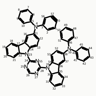 c1ccc(N(c2ccccc2)c2ccc3c(c2)c2ccccc2n3-c2ncnc(-n3c4ccccc4c4cc(N(c5ccccc5)c5ccccc5)ccc43)n2)cc#1